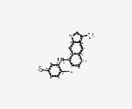 Cc1csc2cc3c(Nc4cc(O)ccc4F)ccnc3cc12